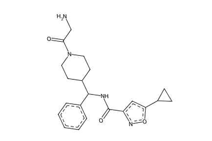 NCC(=O)N1CCC(C(NC(=O)c2cc(C3CC3)on2)c2ccccc2)CC1